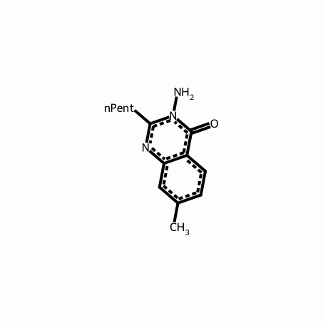 CCCCCc1nc2cc(C)ccc2c(=O)n1N